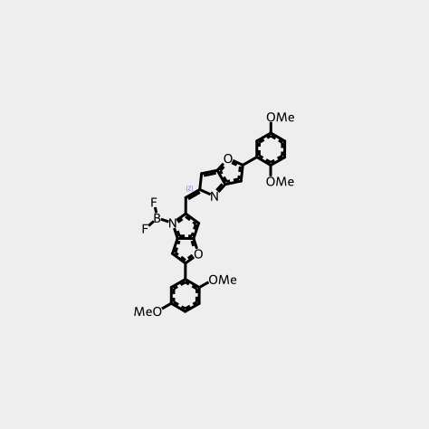 COc1ccc(OC)c(-c2cc3c(o2)=C/C(=C/c2cc4oc(-c5cc(OC)ccc5OC)cc4n2B(F)F)N=3)c1